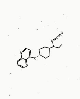 CCC(N=C=O)[C@H]1CC[C@H](Oc2ccnc3ccccc23)CC1